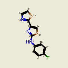 Fc1ccc(Nc2nc(-c3nccs3)cs2)cc1